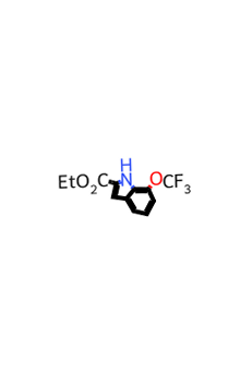 CCOC(=O)c1cc2cccc(OC(F)(F)F)c2[nH]1